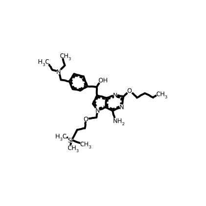 CCCCOc1nc(N)c2c(n1)c(C(O)c1ccc(CN(CC)CC)cc1)cn2COCC[Si](C)(C)C